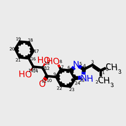 CC(C)=Cc1nc2c(O)c(C(=O)[C@H](O)[C@@H](O)c3ccccc3)ccc2[nH]1